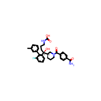 Cc1cccc(-c2c(F)cccc2[C@](O)(CCCNC(=O)O)[C@@H]2CCCN(C(=O)c3ccc(C(N)=O)cc3)C2)c1